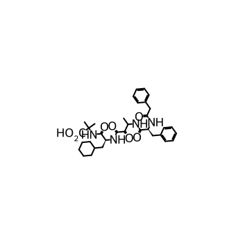 CC(NC(=O)[C@H](Cc1ccccc1)NC(=O)Cc1ccccc1)C(=O)C(=O)N[C@@H](CC1CCCCC1)C(=O)NC(C)(C)C(=O)O